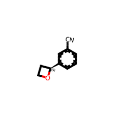 N#Cc1cccc([C@@H]2CCO2)c1